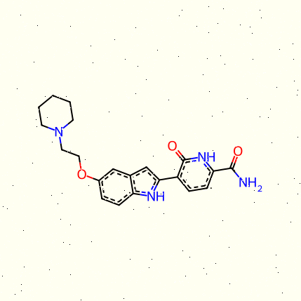 NC(=O)c1[c]cc(-c2cc3cc(OCCN4CCCCC4)ccc3[nH]2)c(=O)[nH]1